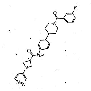 O=C(Nc1ccc(C2CCN(C(=O)c3cccc(F)c3)CC2)cc1)C1CN(c2ccnnc2)C1